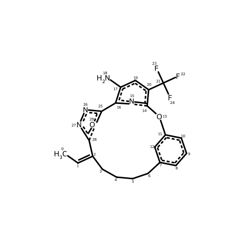 C/C=C1/CCCCc2cccc(c2)Oc2nc(c(N)cc2C(F)(F)F)-c2nnc1o2